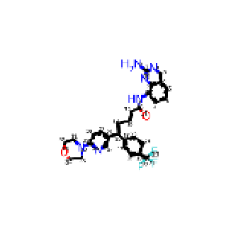 Nc1ncc2cccc(NC(=O)/C=C/C=C(\c3ccc(C(F)(F)F)cc3)c3ccc(N4CCOCC4)nc3)c2n1